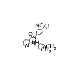 C=N/C=C\C(=C/C)CNc1ncccc1C(=O)Nc1ccc(C2(C#N)CCCC2)cc1